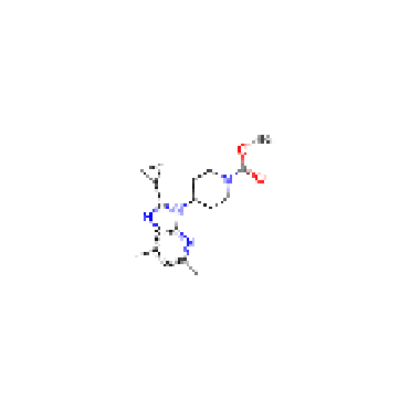 Cc1cc(C)c2nc(C3CC3)n(C3CCN(C(=O)OC(C)(C)C)CC3)c2n1